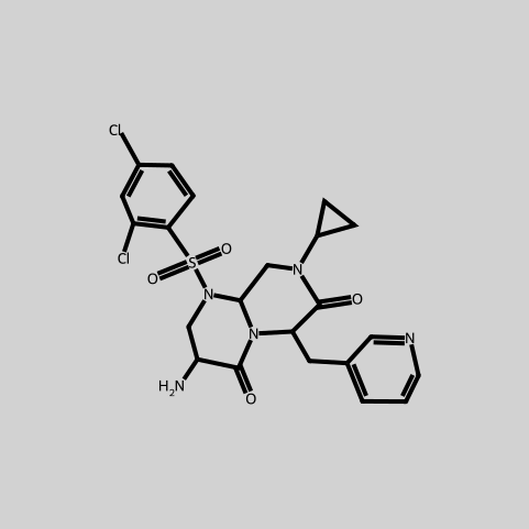 NC1CN(S(=O)(=O)c2ccc(Cl)cc2Cl)C2CN(C3CC3)C(=O)C(Cc3cccnc3)N2C1=O